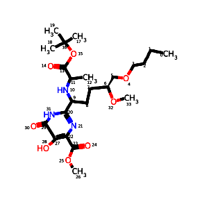 CCCCOC[C@H](CCC(NC(C)C(=O)OC(C)(C)C)c1nc(C(=O)OC)c(O)c(=O)[nH]1)OC